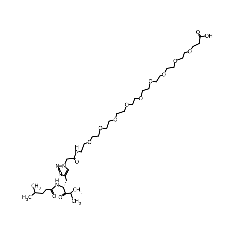 CC(C)CCC(=O)N[C@H](Cc1cn(CC(=O)NCCOCCOCCOCCOCCOCCOCCOCCOCCOCCC(=O)O)nn1)C(=O)C(C)C